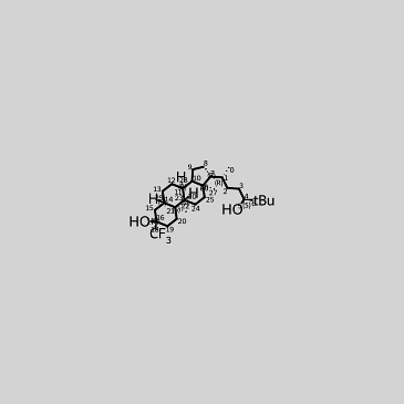 C[C@H](CC[C@H](O)C(C)(C)C)[C@H]1CCC2[C@@H]3CC[C@H]4C[C@](O)(C(F)(F)F)CC[C@]4(C)[C@H]3CC[C@@]21C